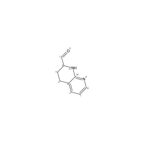 O=CC1CCc2cccnc2N1